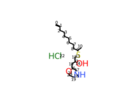 C=CCCCCCCCC(C)SCC(O)CC1CNCCO1.Cl